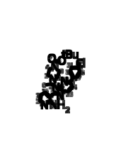 CC(N1CCN(C(=O)OC(C)(C)C)CC1)n1c(-c2cccnc2N)nc2ccc(-c3ccc(Cl)cc3)nc21